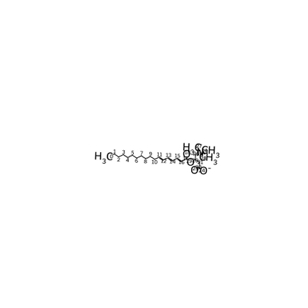 CCCCCCCCCCCC=CC=CC=CC(=O)OC(CC(=O)[O-])C[N+](C)(C)C